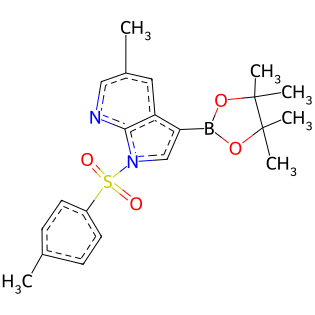 Cc1ccc(S(=O)(=O)n2cc(B3OC(C)(C)C(C)(C)O3)c3cc(C)cnc32)cc1